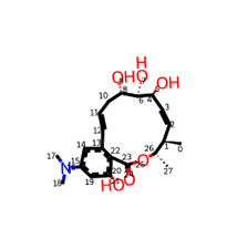 C[C@@H]1/C=C\[C@H](O)[C@@H](O)[C@@H](O)C/C=C/c2cc(N(C)C)cc(O)c2C(=O)O[C@H]1C